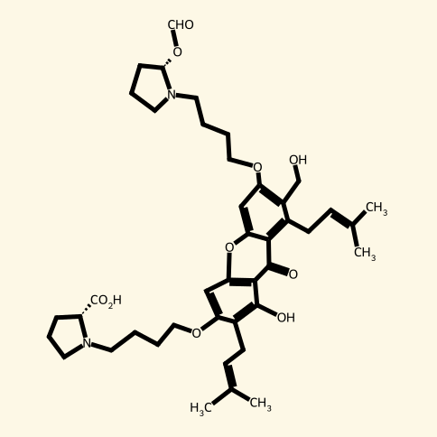 CC(C)=CCc1c(OCCCCN2CCC[C@@H]2C(=O)O)cc2oc3cc(OCCCCN4CCC[C@@H]4OC=O)c(CO)c(CC=C(C)C)c3c(=O)c2c1O